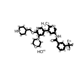 Cc1ncc(NC(=O)c2cccc(C(F)(F)F)c2)cc1-c1cnc(OCC2CCNCC2)c(N2CCOCC2)c1.Cl